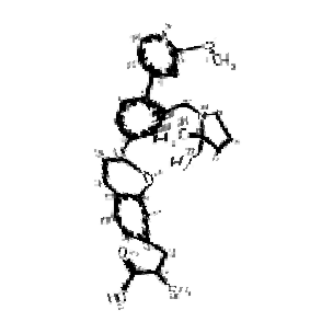 COc1cc(-c2ccc([C@@H]3CCc4ccc(CC(C)C(=O)O)cc4O3)cc2CN2CCCC2(C)C)ccn1